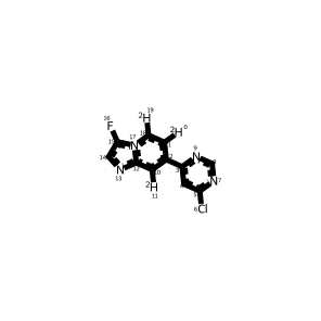 [2H]c1c(-c2cc(Cl)ncn2)c([2H])c2ncc(F)n2c1[2H]